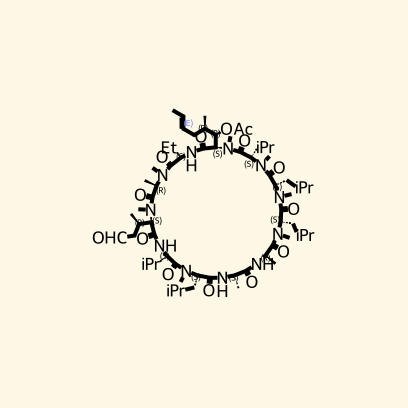 C/C=C/C[C@@H](C)[C@@H](OC(C)=O)[C@H]1C(=O)N[C@@H](CC)C(=O)N(C)[C@H](C)C(=O)N(C)[C@@H]([C@H](C)CC=O)C(=O)N[C@@H](C(C)C)C(=O)N(C)[C@@H](CC(C)C)C(=O)N[C@@H](C)C(=O)N[C@H](C)C(=O)N(C)[C@@H](CC(C)C)C(=O)N(C)[C@@H](CC(C)C)C(=O)N(C)[C@@H](C(C)C)C(=O)N1C